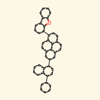 c1ccc(-c2ccc(-c3cc4ccc5ccc(-c6cccc7c6oc6ccccc67)c6ccc(c3)c4c56)c3ccccc23)cc1